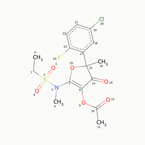 CCS(=O)(=O)N(C)C1=C(OC(C)=O)C(=O)C(C)(c2cc(Cl)ccc2F)O1